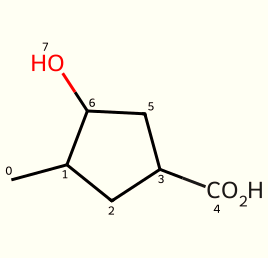 CC1CC(C(=O)O)CC1O